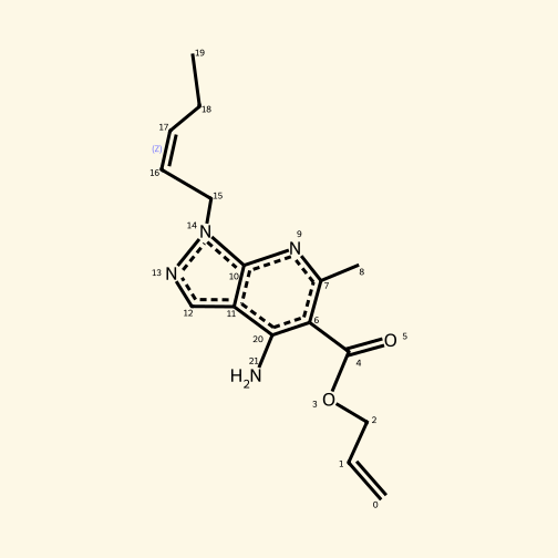 C=CCOC(=O)c1c(C)nc2c(cnn2C/C=C\CC)c1N